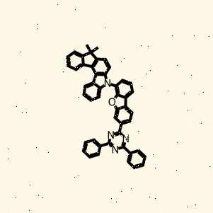 CC1(C)c2ccccc2-c2c1ccc1c2c2ccccc2n1-c1cccc2c1oc1cc(-c3nc(-c4ccccc4)nc(-c4ccccc4)n3)ccc12